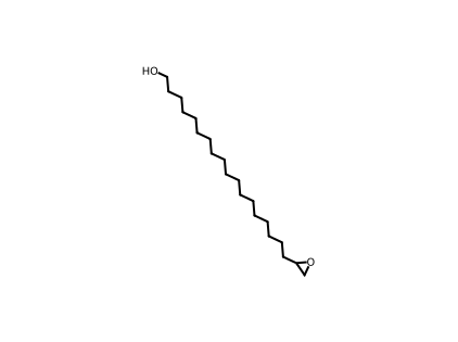 OCCCCCCCCCCCCCCCCCCC1CO1